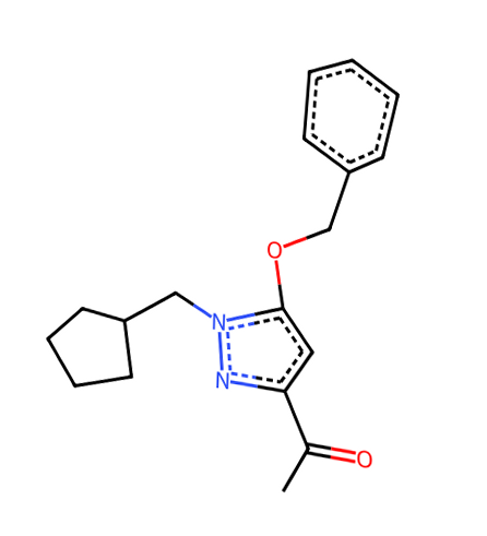 CC(=O)c1cc(OCc2ccccc2)n(CC2CCCC2)n1